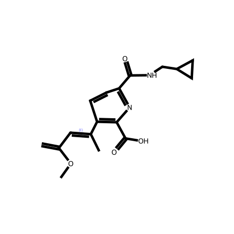 C=C(/C=C(\C)c1ccc(C(=O)NCC2CC2)nc1C(=O)O)OC